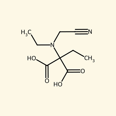 CCN(CC#N)C(CC)(C(=O)O)C(=O)O